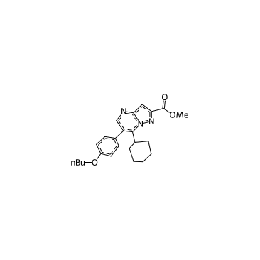 CCCCOc1ccc(-c2cnc3cc(C(=O)OC)nn3c2C2CCCCC2)cc1